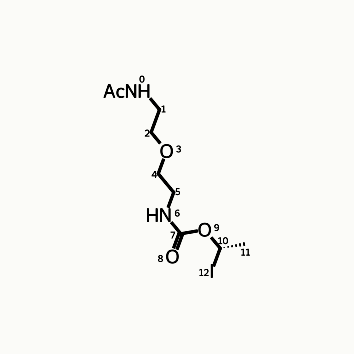 CC(=O)NCCOCCNC(=O)O[C@H](C)I